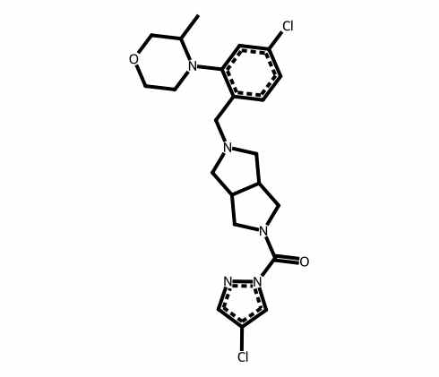 CC1COCCN1c1cc(Cl)ccc1CN1CC2CN(C(=O)n3cc(Cl)cn3)CC2C1